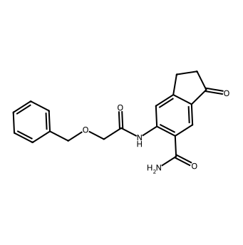 NC(=O)c1cc2c(cc1NC(=O)COCc1ccccc1)CCC2=O